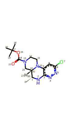 C[C@H]1Nc2nnc(Cl)cc2N2CCN(C(=O)OC(C)(C)C)C[C@@H]12